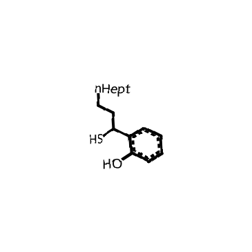 CCCCCCCCCC(S)c1ccccc1O